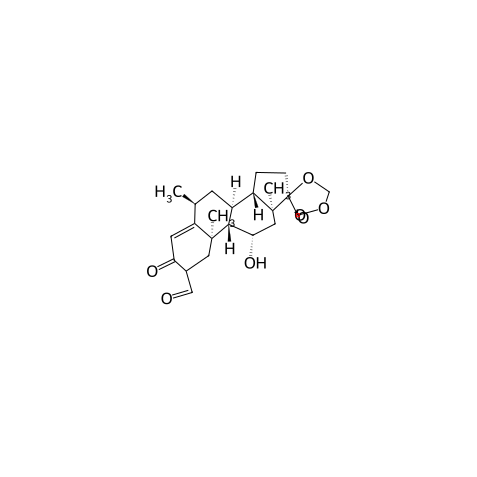 C[C@H]1C[C@@H]2[C@H]([C@@H](O)C[C@@]3(C)[C@H]2CC[C@@]32OCOC23COCO3)[C@@]2(C)CC(C=O)C(=O)C=C12